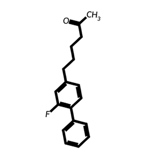 CC(=O)CCCCc1ccc(-c2ccccc2)c(F)c1